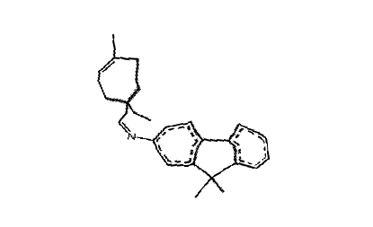 CC1=CCC(C)(/C=N\c2ccc3c(c2)C(C)(C)c2ccccc2-3)CC1